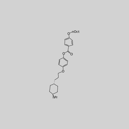 CCCCCCCCOc1ccc(C(=O)Oc2ccc(OCCC[C@H]3CC[C@H](CCC)CC3)cc2)cc1